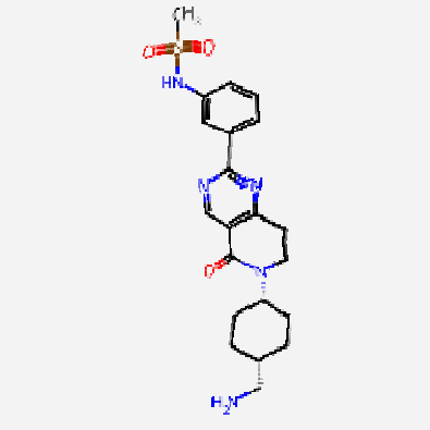 CS(=O)(=O)Nc1cccc(-c2ncc3c(n2)CCN([C@H]2CC[C@@H](CN)CC2)C3=O)c1